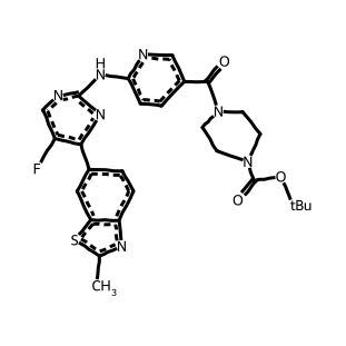 Cc1nc2ccc(-c3nc(Nc4ccc(C(=O)N5CCN(C(=O)OC(C)(C)C)CC5)cn4)ncc3F)cc2s1